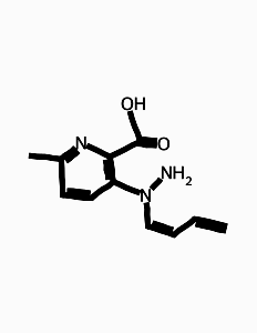 C=C/C=C\N(N)c1ccc(C)nc1C(=O)O